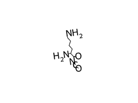 NCCCCC(N)C(=O)N=C=O